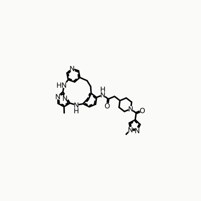 Cc1cnc2nc1Nc1ccc(NC(=O)CC3CCN(C(=O)c4cnn(C)c4)CC3)c(c1)CCc1cncc(c1)N2